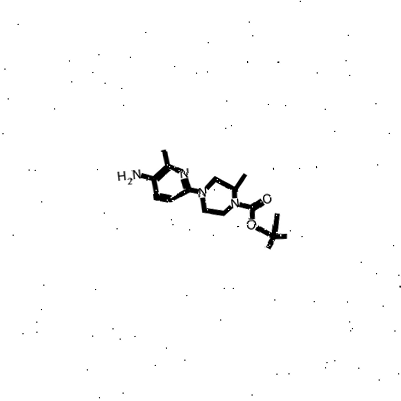 Cc1nc(N2CCN(C(=O)OC(C)(C)C)C(C)C2)ccc1N